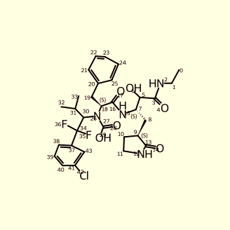 CCNC(=O)C(O)[C@H](C[C@@H]1CCNC1=O)NC(=O)[C@H](Cc1ccccc1)N(C(=O)O)C(C(C)C)C(F)(F)c1cccc(Cl)c1